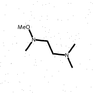 CON(C)CCN(C)C